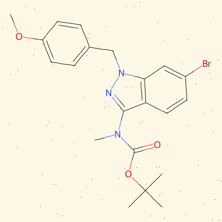 COc1ccc(Cn2nc(N(C)C(=O)OC(C)(C)C)c3ccc(Br)cc32)cc1